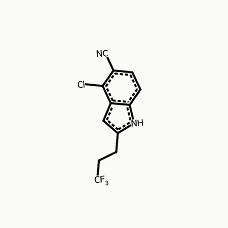 N#Cc1ccc2[nH]c(CCC(F)(F)F)cc2c1Cl